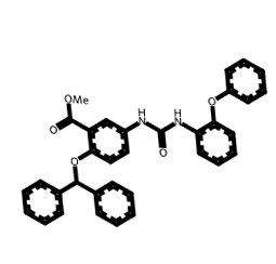 COC(=O)c1cc(NC(=O)Nc2ccccc2Oc2ccccc2)ccc1OC(c1ccccc1)c1ccccc1